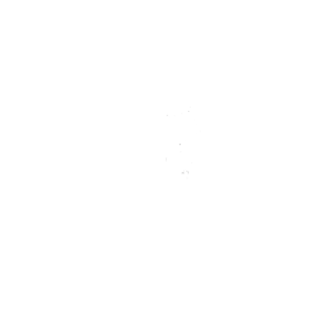 CC(C)CC1(I)CCCC1